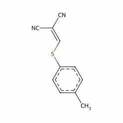 Cc1ccc(SC=C(C#N)C#N)cc1